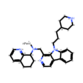 CCCCCN(Cc1nccc2c3ccccc3n(CCCC3CCNCC3)c12)C1CCCc2cccnc21